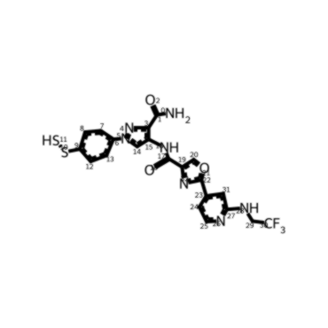 NC(=O)c1nn(-c2ccc(SS)cc2)cc1NC(=O)c1coc(-c2ccnc(NCC(F)(F)F)c2)n1